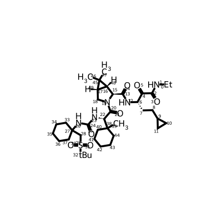 CCNC(=O)C(=O)[C@H](CCC1CC1)NC(=O)[C@@H]1[C@@H]2[C@H](CN1C(=O)[C@@H](NC(=O)NC1(CS(=O)(=O)C(C)(C)C)CCCCC1)C1(C)CCCCC1)C2(C)C